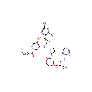 COC(=O)c1ccc2c(c1)N(C[C@@H]1CC[C@H]1[C@@H]1C[C@@H](OC(C)CSc3ncccn3)CCO1)C[C@@]1(CCCc3cc(Cl)ccc31)CO2